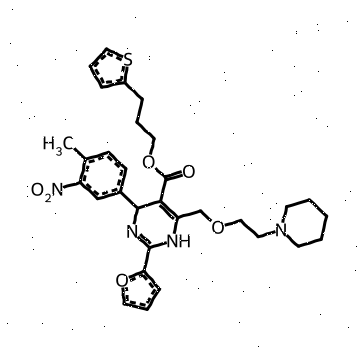 Cc1ccc(C2N=C(c3ccco3)NC(COCCN3CCCCC3)=C2C(=O)OCCCc2cccs2)cc1[N+](=O)[O-]